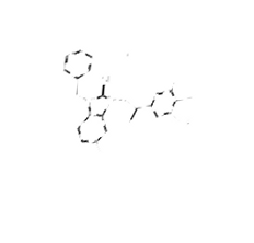 CC(C)(C)c1cc(C(=O)Cn2c(=N)n(Cc3ccccc3)c3ccc(C(=O)O)cc32)cc(C(C)(C)C)c1O.Cl